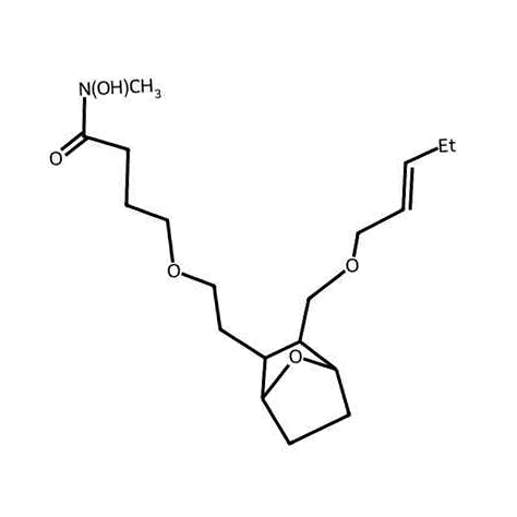 CC/C=C/COCC1C2CCC(O2)C1CCOCCCC(=O)N(C)O